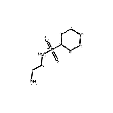 NCCNS(=O)(=O)C1CCCCC1